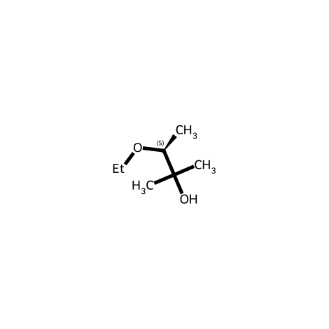 CCO[C@@H](C)C(C)(C)O